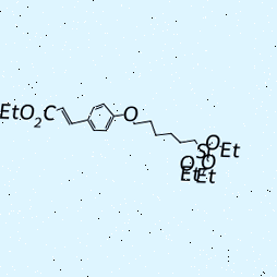 CCOC(=O)/C=C/c1ccc(OCCCCCC[Si](OCC)(OCC)OCC)cc1